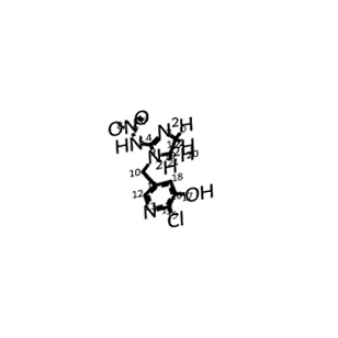 [2H]C1([2H])N=C(N[N+](=O)[O-])N(Cc2cnc(Cl)c(O)c2)C1([2H])[2H]